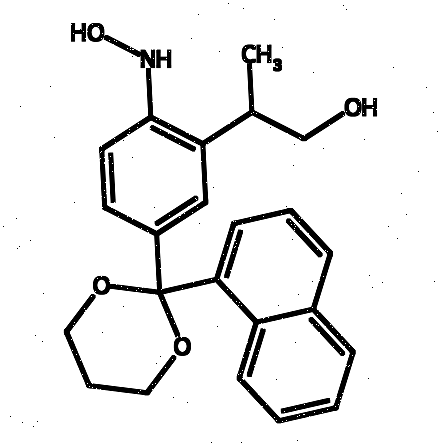 CC(CO)c1cc(C2(c3cccc4ccccc34)OCCCO2)ccc1NO